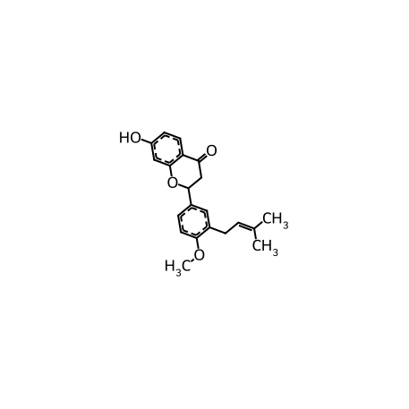 COc1ccc(C2CC(=O)c3ccc(O)cc3O2)cc1CC=C(C)C